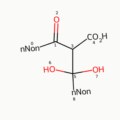 CCCCCCCCCC(=O)C(C(=O)O)C(O)(O)CCCCCCCCC